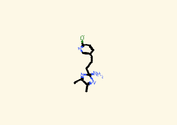 CC1=NC(N)(CCc2ccc(Cl)nc2)N=C1C